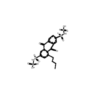 CCCCc1cc(S(=O)(=O)NS(=O)(=O)O)cc2c1C(=O)c1cc(S(=O)(=O)NS(=O)(=O)O)ccc1C2=O